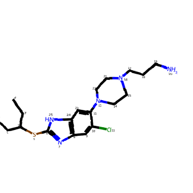 CCC(CC)Sc1nc2cc(Cl)c(N3CCN(CCCN)CC3)cc2[nH]1